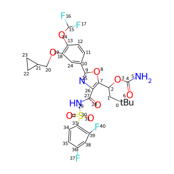 CC(C)(C)CC(OC(N)=O)c1oc(-c2ccc(OC(F)F)c(OCC3CC3)c2)nc1C(=O)NS(=O)(=O)c1ccc(F)cc1F